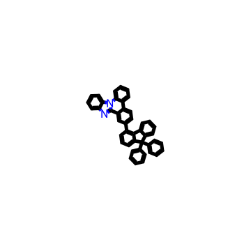 c1ccc(C2(c3ccccc3)c3ccccc3-c3c(-c4ccc5c6ccccc6n6c7ccccc7nc6c5c4)cccc32)cc1